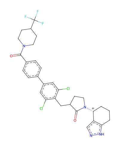 O=C(c1ccc(-c2cc(Cl)c(CC3CCN([C@@H]4CCCc5[nH]ncc54)C3=O)c(Cl)c2)cc1)N1CCC(C(F)(F)F)CC1